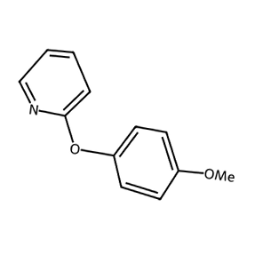 COc1ccc(Oc2ccccn2)cc1